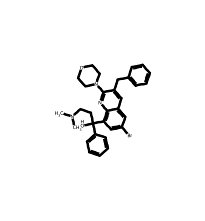 CN(C)CCC(O)(c1ccccc1)c1cc(Br)cc2cc(Cc3ccccc3)c(N3CCOCC3)nc12